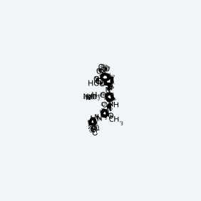 COc1cc(N=Nc2cccc(S(=O)(=O)[O-])c2)ccc1N=C([O-])Nc1ccc(N=Nc2ccc3cc(S(=O)(=O)[O-])cc(S(=O)(=O)O)c3c2)c(C)c1.[Na+].[Na+].[Na+]